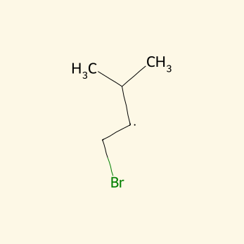 CC(C)[CH]CBr